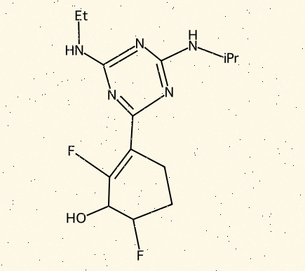 CCNc1nc(NC(C)C)nc(C2=C(F)C(O)C(F)CC2)n1